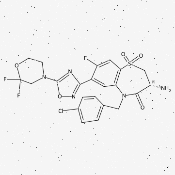 N[C@H]1CS(=O)(=O)c2cc(F)c(-c3noc(N4CCOC(F)(F)C4)n3)cc2N(Cc2ccc(Cl)cc2)C1=O